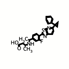 C[C@H](N[C@@H](C)CC(=O)O)c1ccc(-c2nc3ccc(C4(c5ccccc5)CC4)nc3s2)c(F)c1